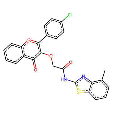 Cc1cccc2sc(NC(=O)COc3c(-c4ccc(Cl)cc4)oc4ccccc4c3=O)nc12